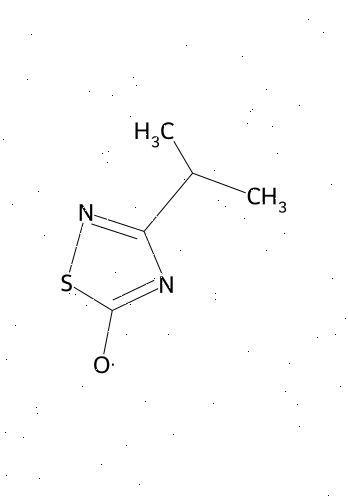 CC(C)c1nsc([O])n1